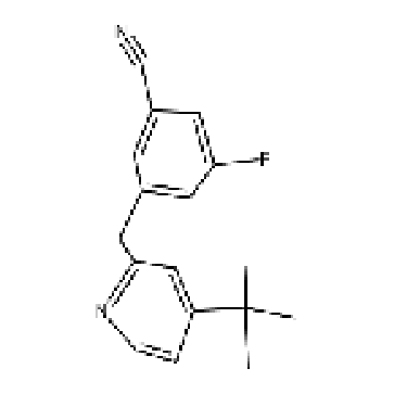 CC(C)(C)c1ccnc(Cc2cc(F)cc(C#N)c2)c1